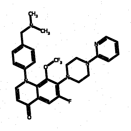 CN(C)Cc1ccc(-n2ccc(=O)c3cc(F)c(N4CCN(c5ccccn5)CC4)c(OC(F)(F)F)c32)cc1